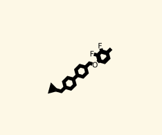 Cc1ccc(OCC2CCC(C3CCC(CC4CC4)CC3)CC2)c(F)c1F